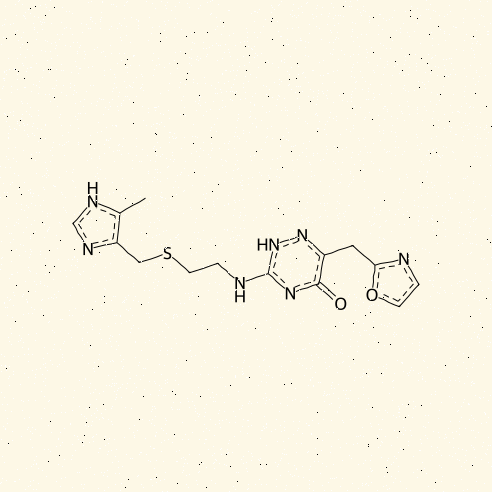 Cc1[nH]cnc1CSCCNc1nc(=O)c(Cc2ncco2)n[nH]1